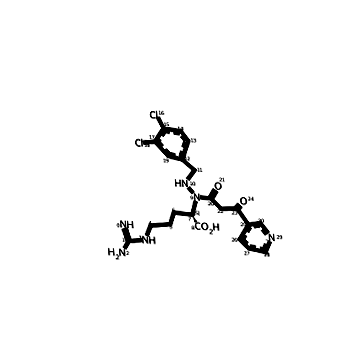 N=C(N)NCCC[C@@H](C(=O)O)N(NCc1ccc(Cl)c(Cl)c1)C(=O)CC(=O)c1cccnc1